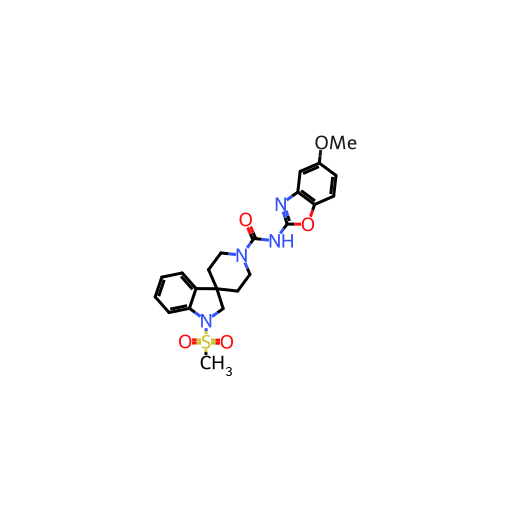 COc1ccc2oc(NC(=O)N3CCC4(CC3)CN(S(C)(=O)=O)c3ccccc34)nc2c1